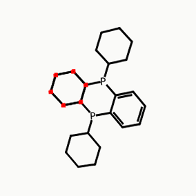 c1ccc(P(C2CCCCC2)C2CCCCC2)c(P(C2CCCCC2)C2CCCCC2)c1